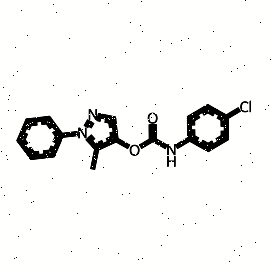 Cc1c(OC(=O)Nc2ccc(Cl)cc2)cnn1-c1ccccc1